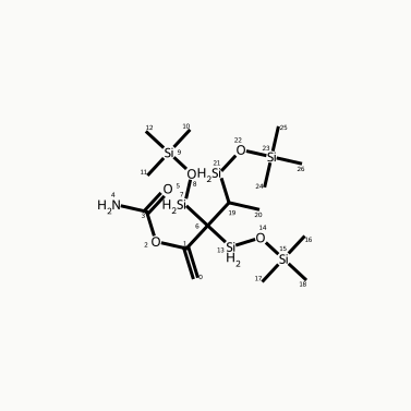 C=C(OC(N)=O)C([SiH2]O[Si](C)(C)C)([SiH2]O[Si](C)(C)C)C(C)[SiH2]O[Si](C)(C)C